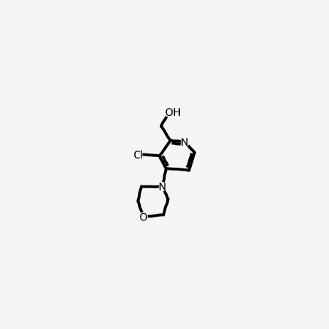 OCc1nccc(N2CCOCC2)c1Cl